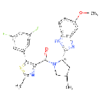 C=C1C[C@@H](c2nc3cc(OC)ccc3[nH]2)N(C(=O)c2nc(C)sc2-c2cc(F)cc(F)c2)C1